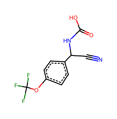 N#CC(NC(=O)O)c1ccc(OC(F)(F)F)cc1